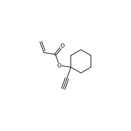 C#CC1(OC(=O)C=C)CCCCC1